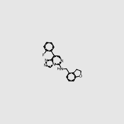 Fc1ccccc1-c1cnc(NCc2cccc3c2CCO3)n2cnnc12